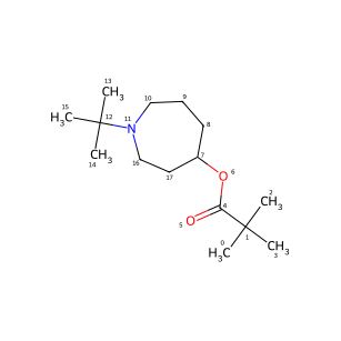 CC(C)(C)C(=O)OC1CCCN(C(C)(C)C)CC1